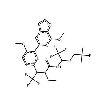 CCN(C(=O)NC(CCC(F)(F)F)C(F)(F)F)C(c1ncc(OC)c(-c2cn3ccnc3c(OC)n2)n1)C(F)(F)F